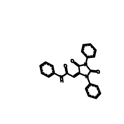 O=C(C=C1C(=O)N(c2ccccc2)C(=O)N1c1ccccc1)Nc1ccccc1